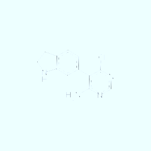 Cc1ncnc(N)c1-c1ccc2c(c1)NCC2